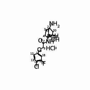 Cl.NC12CCC(NC(=O)COc3ccc(Cl)c(F)c3)(CC1)[C@@H](O)C2